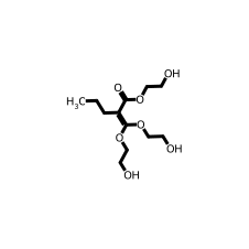 CCCC(C(=O)OCCO)=C(OCCO)OCCO